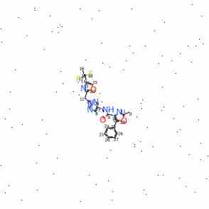 Cc1nc(C(=O)Nc2cnn(Cc3nc(C(C)(F)F)co3)n2)c(-c2ccccc2)o1